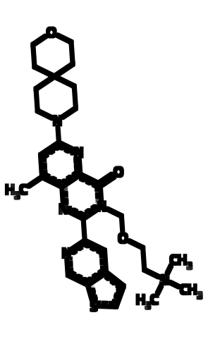 Cc1cc(N2CCC3(CCOCC3)CC2)nc2c(=O)n(COCC[Si](C)(C)C)c(-c3cc4ccsc4cn3)nc12